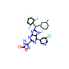 CC(c1c(F)cccc1F)c1nc2nc(-c3noc(=O)[nH]3)nc(-c3cncc(Cl)c3)c2n1C[C@H]1CC[C@H](C)CC1